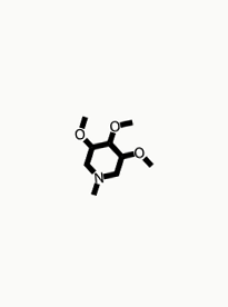 COC1CN(C)CC(OC)C1OC